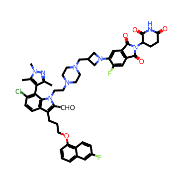 Cc1nn(C)c(C)c1-c1c(Cl)ccc2c(CCCOc3cccc4cc(F)ccc34)c(C=O)n(CCN3CCN(CC4CN(c5cc6c(cc5F)C(=O)N(C5CCC(=O)NC5=O)C6=O)C4)CC3)c12